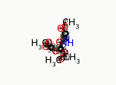 CCOC(=O)C1CCc2nc(NC(=O)c3cc(Oc4ccc(S(C)(=O)=O)cc4)cc(OC(C)COC)c3)sc2C1